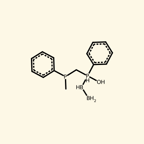 BB[PH](O)(CP(C)c1ccccc1)c1ccccc1